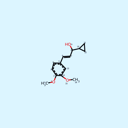 COc1ccc(/C=C/C(O)C2CC2)cc1OC